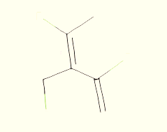 C=C(F)/C(CF)=C(\C)F